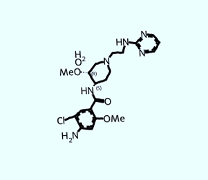 COc1cc(N)c(Cl)cc1C(=O)N[C@H]1CCN(CCNc2ncccn2)C[C@H]1OC.O